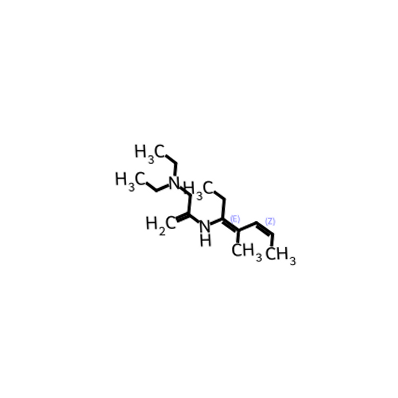 C=C(CN(CC)CC)N/C(CC)=C(C)/C=C\C